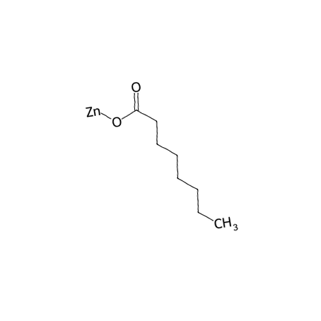 CCCCCCCC(=O)[O][Zn]